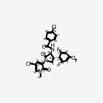 COc1cc(F)c([C@@H]2CN(c3cc(Cl)cn(C)c3=O)C(=O)[C@H]2NC(=O)c2ccc(Cl)cc2)c(F)c1